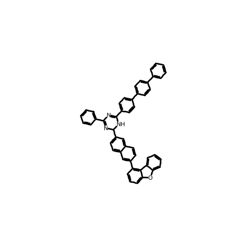 c1ccc(C2=NC(c3ccc4cc(-c5cccc6oc7ccccc7c56)ccc4c3)NC(c3ccc(-c4ccc(-c5ccccc5)cc4)cc3)=N2)cc1